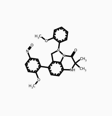 COc1ccc(N=O)cc1-c1ccc2c3c1CN(c1ccccc1OC)N3C(=O)C(C)(C)N2